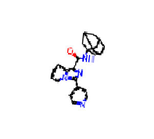 O=C(NC12CC3CC(CC(C3)C1)C2)c1nc(-c2ccncc2)n2ccccc12